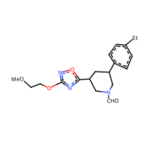 CCc1ccc(C2CC(c3nc(OCCOC)no3)CN(C=O)C2)cc1